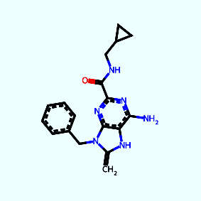 C=C1Nc2c(N)nc(C(=O)NCC3CC3)nc2N1Cc1ccccc1